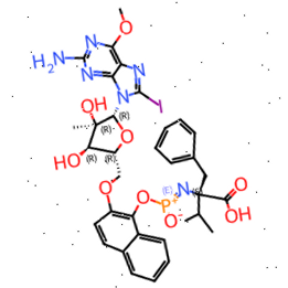 COc1nc(N)nc2c1nc(I)n2[C@@H]1O[C@H](COc2ccc3ccccc3c2O/[P+]([O-])=N/[C@](Cc2ccccc2)(C(=O)O)C(C)C)[C@@H](O)[C@@]1(C)O